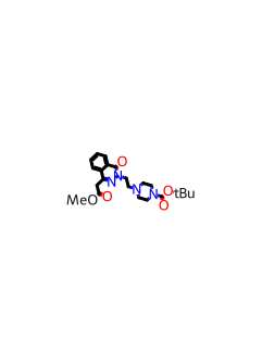 COC(=O)Cc1nn(CCN2CCN(C(=O)OC(C)(C)C)CC2)c(=O)c2ccccc12